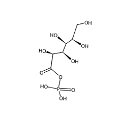 O=C(OP(=O)(O)O)[C@@H](O)[C@H](O)[C@@H](O)[C@H](O)CO